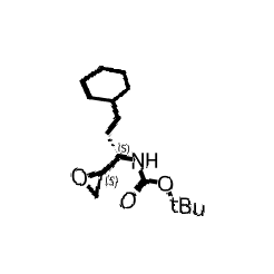 CC(C)(C)OC(=O)N[C@@H](CCC1CCCCC1)[C@H]1CO1